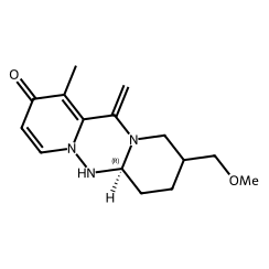 C=C1c2c(C)c(=O)ccn2N[C@@H]2CCC(COC)CN12